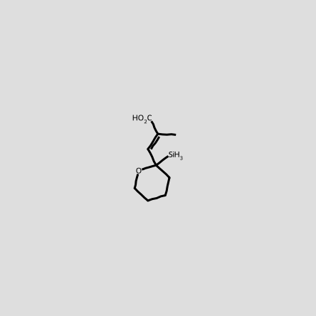 CC(=CC1([SiH3])CCCCO1)C(=O)O